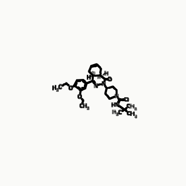 CCOc1ccc(C2=NN(C3CCN(C(=O)NC(C)(C)C)CC3)C(=O)[C@@H]3CC=CC[C@H]23)cc1OCC